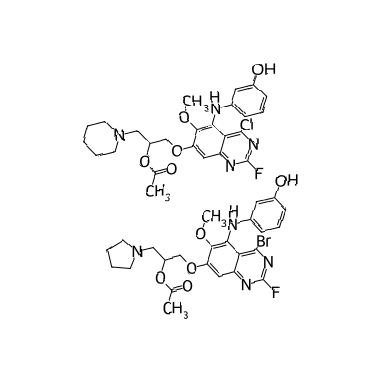 COc1c(OCC(CN2CCCC2)OC(C)=O)cc2nc(F)nc(Br)c2c1Nc1cccc(O)c1.COc1c(OCC(CN2CCCCC2)OC(C)=O)cc2nc(F)nc(Cl)c2c1Nc1cccc(O)c1